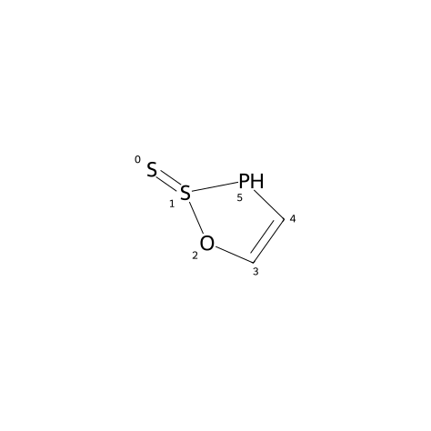 S=S1OC=CP1